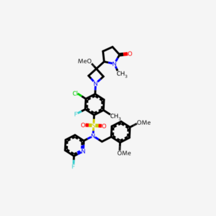 COc1ccc(CN(c2cccc(F)n2)S(=O)(=O)c2c(C)cc(N3CC(OC)(C4CCC(=O)N4C)C3)c(Cl)c2F)c(OC)c1